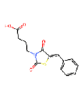 O=C(O)CCCN1C(=O)S/C(=C\c2ccccc2)C1=O